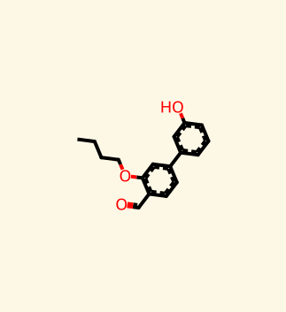 CCCCOc1cc(-c2cccc(O)c2)ccc1C=O